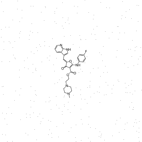 CN1CCN(CCOC(=O)C2=C(Nc3ccc(F)cc3)O/C(=C\c3c[nH]c4ncccc34)C2=O)CC1